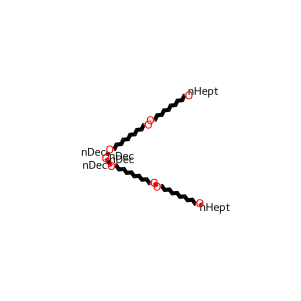 CCCCCCCCCCC(CCCCCCCCCC)(OCCCCCCCCCCOOCCCCCCCCCCOCCCCCCC)OC(CCCCCCCCCC)(CCCCCCCCCC)OCCCCCCCCCCOOCCCCCCCCCCOCCCCCCC